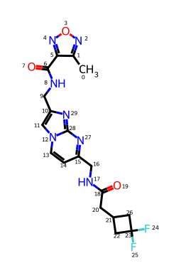 Cc1nonc1C(=O)NCc1cn2ccc(CNC(=O)CC3CC(F)(F)C3)nc2n1